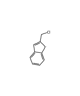 ClCC1=Cc2ccccc2[CH]1